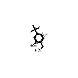 CC(C)(C)c1ccc(CN)c(O)c1.Cl